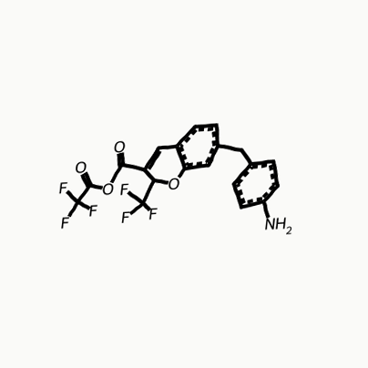 Nc1ccc(Cc2ccc3c(c2)OC(C(F)(F)F)C(C(=O)OC(=O)C(F)(F)F)=C3)cc1